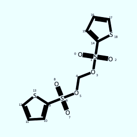 O=S(=O)(OCOS(=O)(=O)c1cccs1)c1cccs1